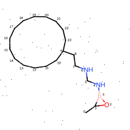 CC1OB1NCNCCC1CCCCCCCCCCCCCC1